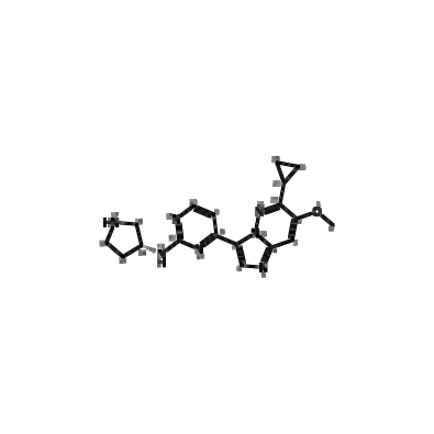 COc1cc2ncc(-c3ccnc(N[C@@H]4CCNC4)n3)n2nc1C1CC1